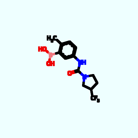 Cc1ccc(NC(=O)N2CCC(C(F)(F)F)C2)cc1B(O)O